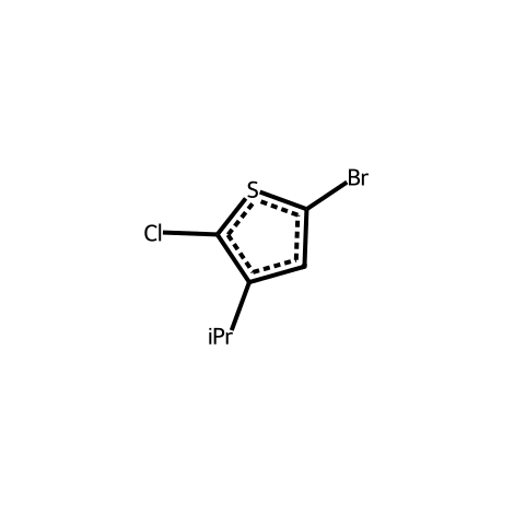 CC(C)c1cc(Br)sc1Cl